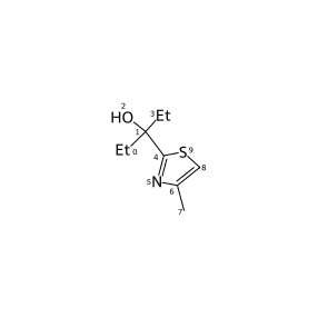 CCC(O)(CC)c1nc(C)cs1